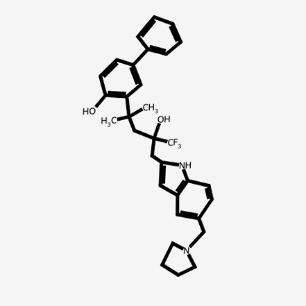 CC(C)(CC(O)(Cc1cc2cc(CN3CCCC3)ccc2[nH]1)C(F)(F)F)c1cc(-c2ccccc2)ccc1O